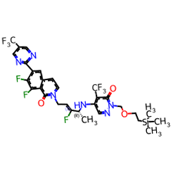 C[C@@H](Nc1cnn(COCC[Si](C)(C)C)c(=O)c1C(F)(F)F)/C(F)=C/Cn1ccc2cc(-c3ncc(C(F)(F)F)cn3)c(F)c(F)c2c1=O